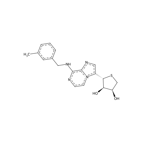 Cc1cccc(CNc2nccn3c([C@@H]4SC[C@@H](O)[C@H]4O)cnc23)c1